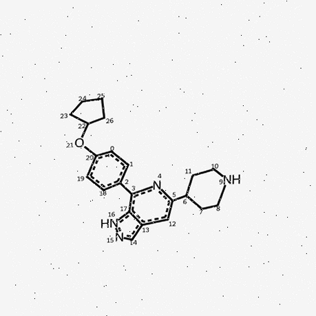 c1cc(-c2nc(C3CCNCC3)cc3cn[nH]c23)ccc1OC1CCCC1